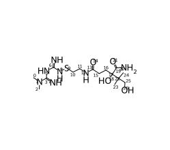 CN(C)C(=N)NC(=N)NSCCNC(=O)CCC(O)(C(N)=O)C(C)(C)CO